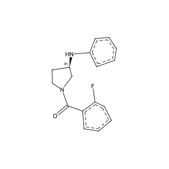 O=C(c1ccccc1F)N1CC[C@@H](Nc2ccccc2)C1